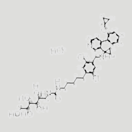 Cl.O=C(NCCCCCc1cc(Cl)c(CNC2(c3cnccc3-c3ccccc3OC3CC3)CC2)cc1Cl)NC[C@H](O)[C@@H](O)[C@H](O)[C@H](O)CO